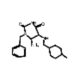 CC1CCC(CNC2C(=O)NC(=O)N(Cc3ccccc3)C2N)CC1